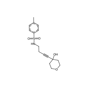 Cc1ccc(S(=O)(=O)NCCC#CC2(O)CCOCC2)cc1